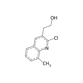 Cc1cccc2cc(CCO)c(Cl)nc12